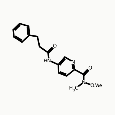 CON(C)C(=O)c1ccc(NC(=O)CCc2ccccc2)cn1